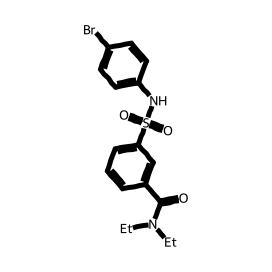 CCN(CC)C(=O)c1cccc(S(=O)(=O)Nc2ccc(Br)cc2)c1